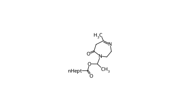 CCCCCCCC(=O)OC(C)N1CCN=C(C)CC1=O